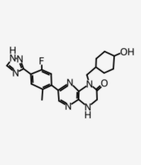 Cc1cc(-c2nc[nH]n2)c(F)cc1-c1cnc2c(n1)N(CC1CCC(O)CC1)C(=O)CN2